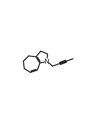 CC#CCN1CCC2=C1C=CCCC2